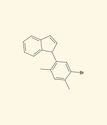 Cc1cc(C)c(C2C=Cc3ccccc32)cc1Br